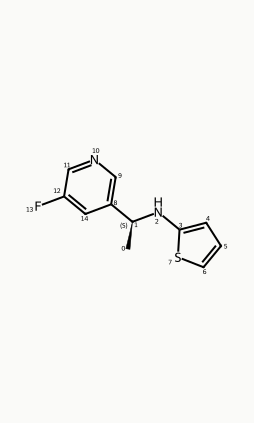 C[C@H](Nc1cccs1)c1cncc(F)c1